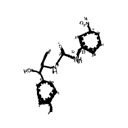 Cc1ccc(C(O)C(C)NC(=O)Nc2cccc([N+](=O)[O-])c2)cc1